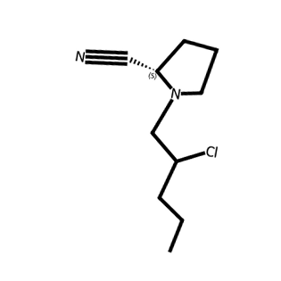 CCCC(Cl)CN1CCC[C@H]1C#N